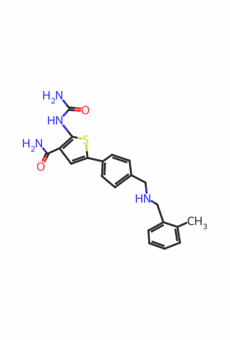 Cc1ccccc1CNCc1ccc(-c2cc(C(N)=O)c(NC(N)=O)s2)cc1